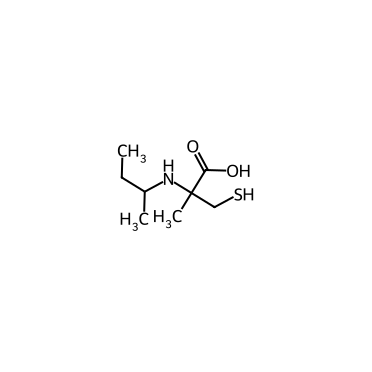 CCC(C)NC(C)(CS)C(=O)O